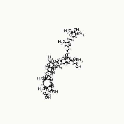 C=C1C[C@H](CCCO[C@@H]2C=C([C@@H](CCO)OC)O[C@H]3CC[C@H](CC(=O)O[C@@H]4[C@@H](C)[C@@H]5O[C@@H]6C[C@]7(C[C@@H]8OO[C@H]9C[C@@H](O)[C@@H](CC(=O)O)O[C@H]9[C@@H](C)CC[C@H](C)[C@@H]8O7)OC6C[C@@H]5O[C@H]4C)O[C@@H]32)O[C@H]1CC[C@H]1C[C@@H](C)C(=C)[C@@H](C)O1